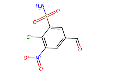 NS(=O)(=O)c1cc(C=O)cc([N+](=O)[O-])c1Cl